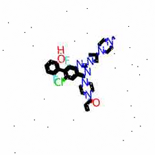 C=CC(=O)N1CCN(c2nc(N3CC(N4CCN(C)CC4)C3)nc3c(F)c(-c4c(O)cccc4F)c(Cl)cc23)CC1